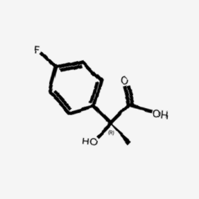 C[C@](O)(C(=O)O)c1ccc(F)cc1